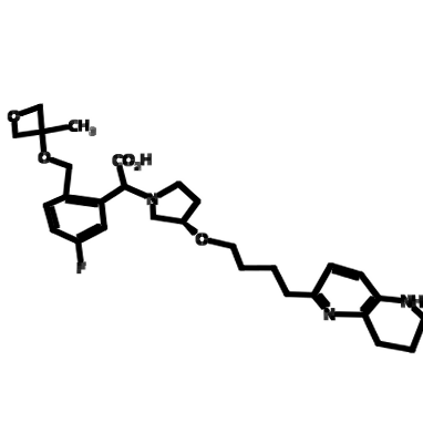 CC1(OCc2ccc(F)cc2C(C(=O)O)N2CC[C@@H](OCCCCc3ccc4c(n3)CCCN4)C2)COC1